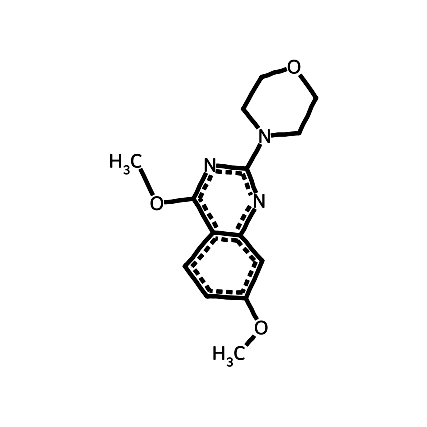 COc1ccc2c(OC)nc(N3CCOCC3)nc2c1